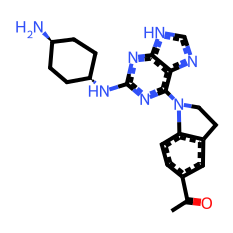 CC(=O)c1ccc2c(c1)CCN2c1nc(N[C@H]2CC[C@H](N)CC2)nc2[nH]cnc12